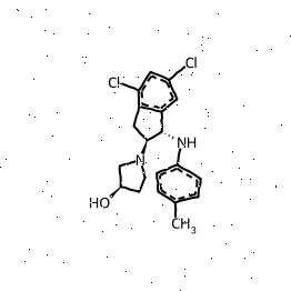 Cc1ccc(N[C@H]2c3cc(Cl)cc(Cl)c3C[C@@H]2N2CC[C@@H](O)C2)cc1